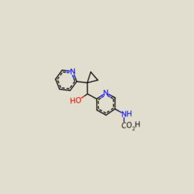 O=C(O)Nc1ccc(C(O)C2(c3ccccn3)CC2)nc1